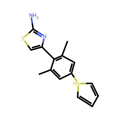 Cc1cc([SH]2C=CC=C2)cc(C)c1-c1csc(N)n1